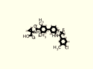 Cc1cc([C@H](Nc2cccc(-c3cc(C)c(C(=O)NC4(C(=O)O)CC4)c(C)c3)c2)C(F)(F)F)ccc1Cl